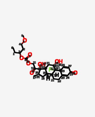 CCC(CCOC)OC(=O)OCC(=O)[C@@]1(O)[C@H](C)C[C@H]2[C@@H]3CCC4=CC(=O)C=C[C@]4(C)[C@@]3(F)[C@@H](O)C[C@@]21C